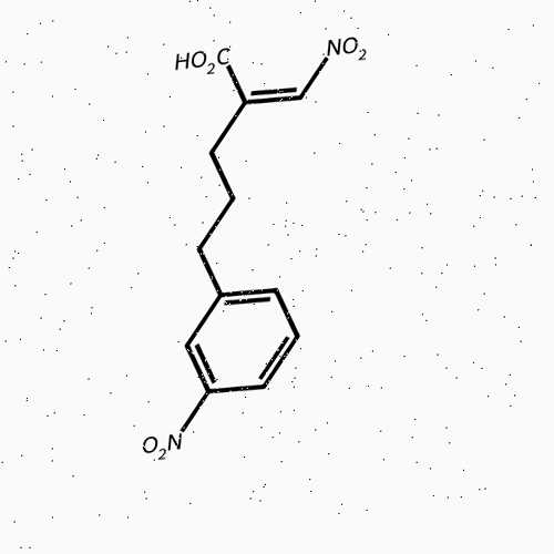 O=C(O)C(=C[N+](=O)[O-])CCCc1cccc([N+](=O)[O-])c1